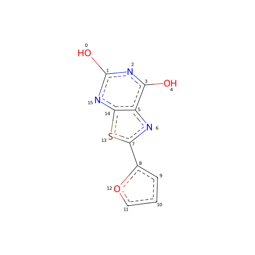 Oc1nc(O)c2nc(-c3ccco3)sc2n1